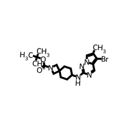 Cc1cn2nc(NC3CCC4(CC3)CN(C(=O)OC(C)(C)C)C4)ncc2c1Br